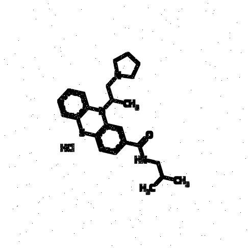 CC(C)CNC(=O)c1ccc2c(c1)N(C(C)CN1CCCC1)c1ccccc1S2.Cl